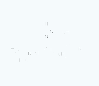 C=C(OCN)c1c(C)nn(C2=CC(C(=C)N(C)Cl)=CC=CC2C)c1C